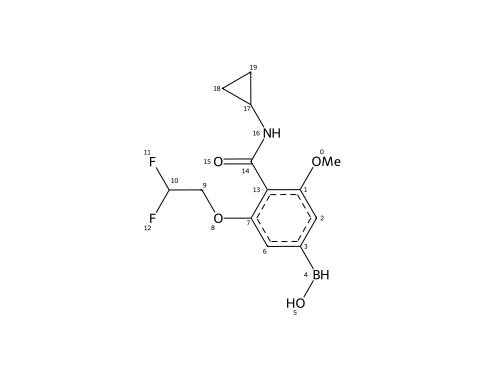 COc1cc(BO)cc(OCC(F)F)c1C(=O)NC1CC1